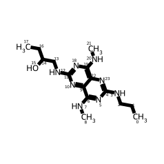 CCCNc1nc(NC)c2nc(NCC(O)CC)nc(NC)c2n1